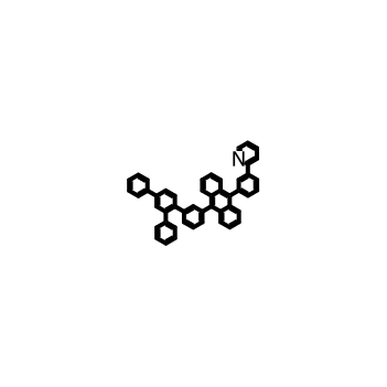 c1ccc(-c2ccc(-c3cccc(-c4c5ccccc5c(-c5cccc(-c6ccccn6)c5)c5ccccc45)c3)c(-c3ccccc3)c2)cc1